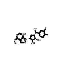 N/N=c1/nc[nH]c2c1cnn2[C@@H]1C[C@H](C(O)c2ccc(F)c(F)c2)[C@@H](O)[C@H]1O